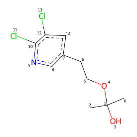 CC(C)(O)OCCc1cnc(Cl)c(Cl)c1